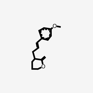 C=C1OCCCC1C/C=C/c1ccc(OC)cc1